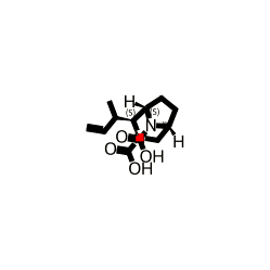 C=CC(C)[C@H]1[C@@H]2CC[C@H](CN1C(=O)O)N2C(=O)O